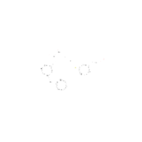 CCOc1ccc(Cc2cc([C@@H]3O[C@H](CSc4cccc(CCO)c4)[C@@H](O)[C@H](O)[C@H]3O)ccc2Cl)cc1